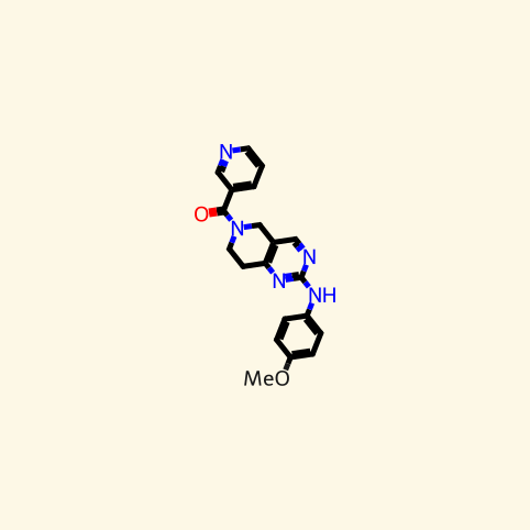 COc1ccc(Nc2ncc3c(n2)CCN(C(=O)c2cccnc2)C3)cc1